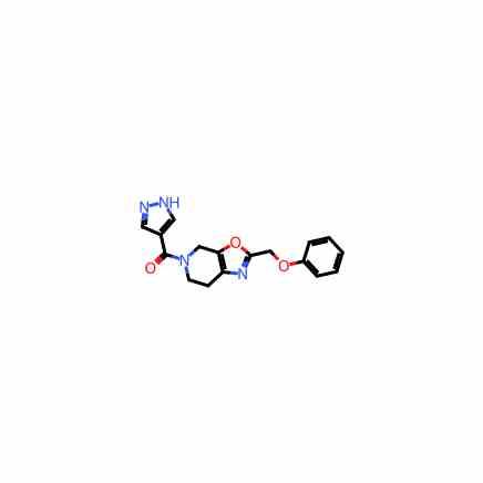 O=C(c1cn[nH]c1)N1CCc2nc(COc3ccccc3)oc2C1